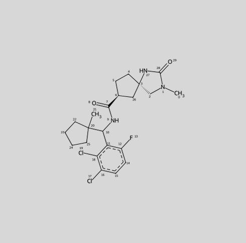 CN1C[C@]2(CC[C@H](C(=O)NC(c3c(F)ccc(Cl)c3Cl)C3(C)CCCC3)C2)NC1=O